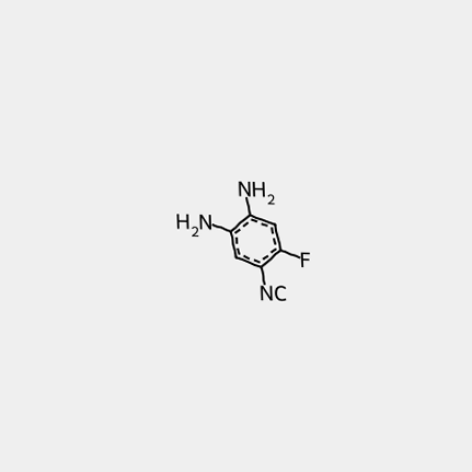 [C-]#[N+]c1cc(N)c(N)cc1F